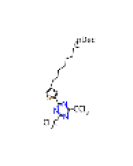 CCCCCCCCCCCCCCCCCCc1csc(-c2nc(C(Cl)(Cl)Cl)nc(C(Cl)(Cl)Cl)n2)c1